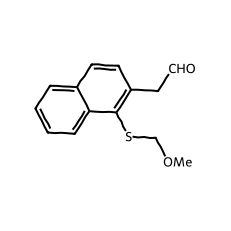 COCSc1c(CC=O)ccc2ccccc12